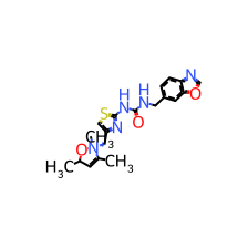 CC1=CC(C)O[N+]1(C)Cc1csc(NC(=O)NCc2ccc3ncoc3c2)n1